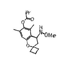 CONC1CC2(CCC2)Oc2cc(C)c(OC(=O)C(C)C)c(C)c21